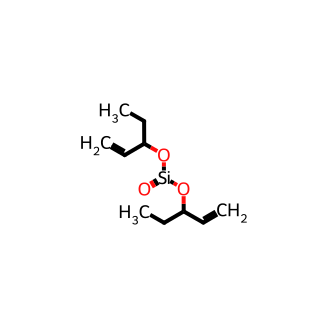 C=CC(CC)O[Si](=O)OC(C=C)CC